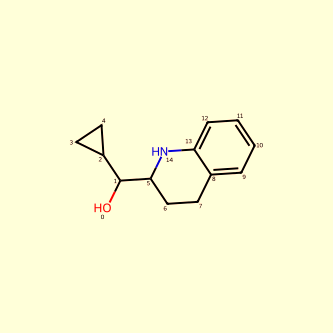 OC(C1CC1)C1CCc2ccccc2N1